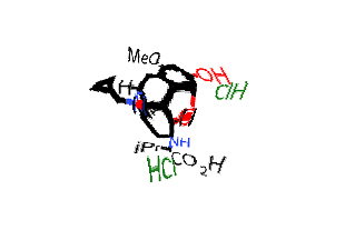 COc1cc(O)c2c3c1C[C@@H]1[C@@H]4CC[C@H](N[C@@H](C(=O)O)C(C)C)[C@H](O2)[C@]34CCN1CC1CC1.Cl.Cl